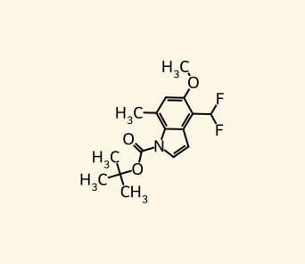 COc1cc(C)c2c(ccn2C(=O)OC(C)(C)C)c1C(F)F